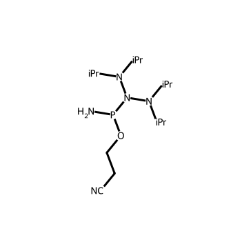 CC(C)N(C(C)C)N(N(C(C)C)C(C)C)P(N)OCCC#N